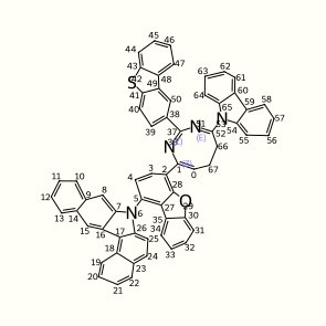 C1=C(c2ccc(-n3c4cc5ccccc5cc4c4c5ccccc5ccc43)c3c2oc2ccccc23)/N=C(c2ccc3sc4ccccc4c3c2)\N=C(\n2c3ccccc3c3ccccc32)CC\1